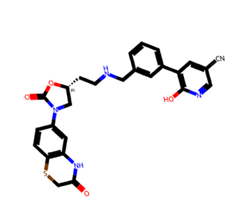 N#Cc1cnc(O)c(-c2cccc(CNCC[C@@H]3CN(c4ccc5c(c4)NC(=O)CS5)C(=O)O3)c2)c1